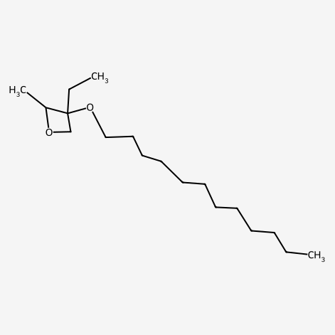 CCCCCCCCCCCCOC1(CC)COC1C